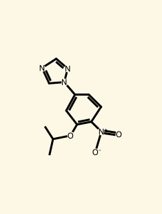 CC(C)Oc1cc(-n2cncn2)ccc1[N+](=O)[O-]